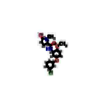 COc1ccc(Oc2cccc(Cl)c2)cc1NC(=O)C1CCC(=O)N1C